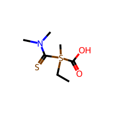 CCS(C)(C(=O)O)C(=S)N(C)C